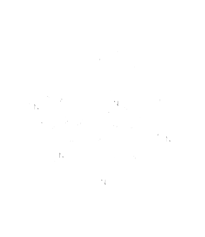 N#Cc1ccc(-c2cccc3c4ccccc4n(-c4ccc(C#N)c(-c5ccncc5)c4)c23)c(C#N)c1